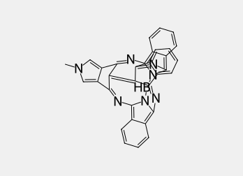 Cn1cc2c(c1)-c1nc3c4ccccc4c4nc5c6c(nc7c8ccccc8c(nc-2c16)n7Bn43)-c1ccccc1-5